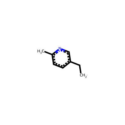 [CH2]Cc1ccc(C)nc1